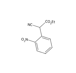 CCOC(=O)C(C#N)c1ccccc1[N+](=O)[O-]